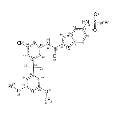 CCCS(=O)(=O)Nc1ccc2sc(C(=O)Nc3cc(Cl)cc(C(C)(C)c4cc(OC(C)C)cc(OC(F)(F)F)c4)c3)cc2c1